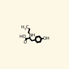 CCCNC(Cc1ccc(O)cc1)C(=O)O